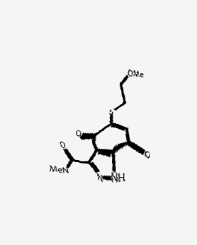 CNC(=O)c1n[nH]c2c1C(=O)C(SCCOC)=CC2=O